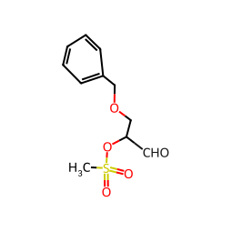 CS(=O)(=O)OC(C=O)COCc1ccccc1